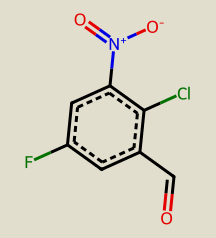 O=Cc1cc(F)cc([N+](=O)[O-])c1Cl